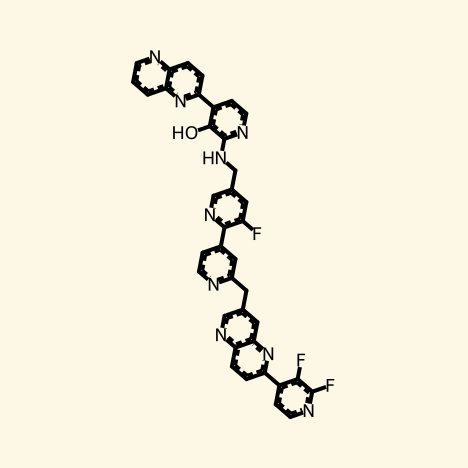 Oc1c(-c2ccc3ncccc3n2)ccnc1NCc1cnc(-c2ccnc(Cc3cnc4ccc(-c5ccnc(F)c5F)nc4c3)c2)c(F)c1